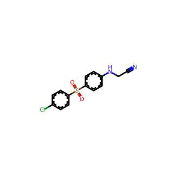 N#CCNc1ccc(S(=O)(=O)c2ccc(Cl)cc2)cc1